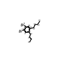 CCCCc1cc(Br)c(Br)cc1CCCC